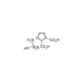 CCCC(N)N.O=C(O)c1ccoc1C(=O)O